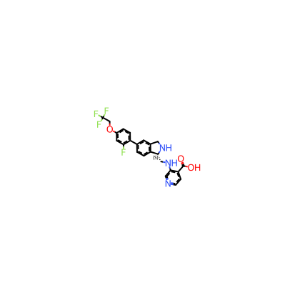 O=C(O)c1ccncc1NC[C@H]1NCc2cc(-c3ccc(OCC(F)(F)F)cc3F)ccc21